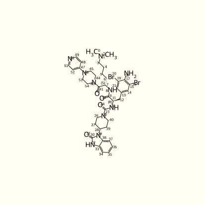 CN(C)CCCC[C@H](NC(=O)[C@@H](Cc1cc(Br)c(N)c(Br)c1)NC(=O)N1CCC(n2c(=O)[nH]c3ccccc32)CC1)C(=O)N1CCN(c2ccncc2)CC1